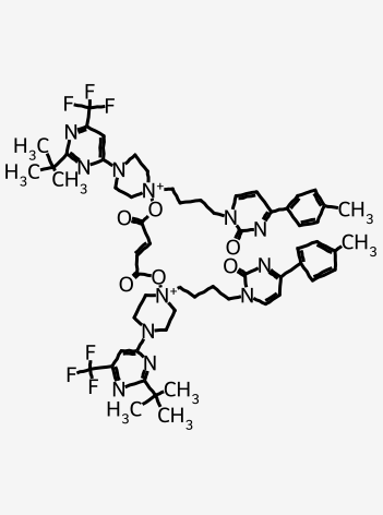 Cc1ccc(-c2ccn(CCCC[N+]3(OC(=O)/C=C/C(=O)O[N+]4(CCCCn5ccc(-c6ccc(C)cc6)nc5=O)CCN(c5cc(C(F)(F)F)nc(C(C)(C)C)n5)CC4)CCN(c4cc(C(F)(F)F)nc(C(C)(C)C)n4)CC3)c(=O)n2)cc1